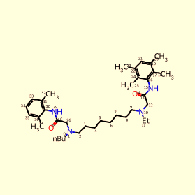 CCCCN(CCCCCCCCN(CC)CC(=O)Nc1c(C)c(C)cc(C)c1C)CC(=O)Nc1c(C)cccc1C